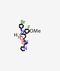 COc1cc2c(CC(=O)c3ncc(-c4ccccn4)o3)c(C)n(Cc3ccc(Br)cc3)c2cc1F